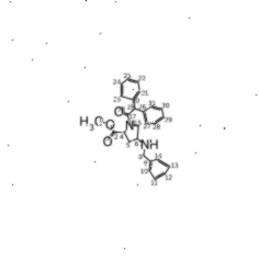 COC(=O)[C@@H]1C[C@H](NCc2ccccc2)CN1C(=O)C(c1ccccc1)c1ccccc1